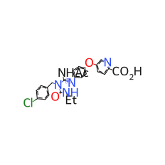 CCNC(=O)N(Cc1ccc(Cl)cc1)/C(=N/c1ccc(Oc2ccc(C(=O)O)nc2)cc1)NC(C)=O